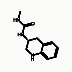 CNC(=O)N[C@@H]1CNc2ccccc2C1